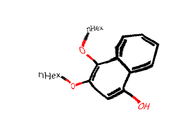 CCCCCCOc1cc(O)c2ccccc2c1OCCCCCC